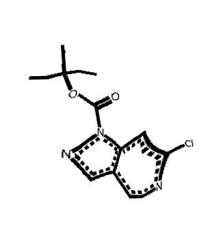 CC(C)(C)OC(=O)n1ncc2cnc(Cl)cc21